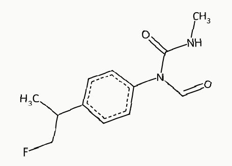 CNC(=O)N(C=O)c1ccc(C(C)CF)cc1